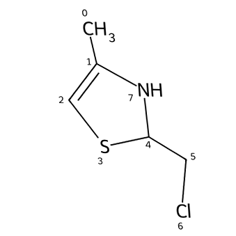 CC1=CSC(CCl)N1